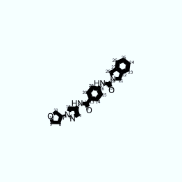 O=C(Nc1cnn([C@H]2CCOC2)c1)c1ccc(NC(=O)N2Cc3ccccc3C2)cc1